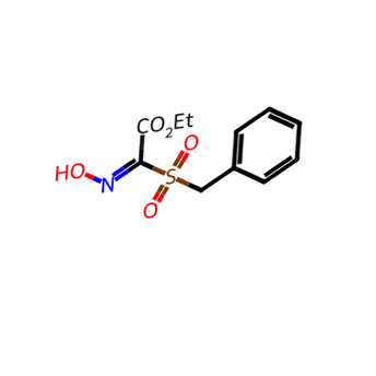 CCOC(=O)C(=NO)S(=O)(=O)Cc1ccccc1